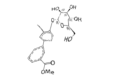 COC(=O)c1cccc(-c2ccc(O[C@H]3O[C@H](CO)[C@@H](O)[C@H](O)[C@@H]3O)c(C)c2)c1